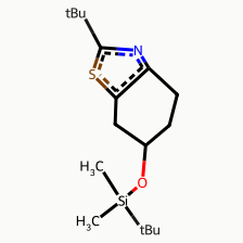 CC(C)(C)c1nc2c(s1)CC(O[Si](C)(C)C(C)(C)C)CC2